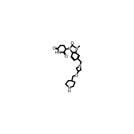 Cn1c(=O)n(C2CCC(=O)NC2=O)c2ccc(CN3CC(OCC4CCNCC4)C3)cc21